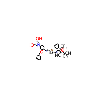 N#CC(C#N)=C1OC(c2ccccc2)(C(F)(F)F)C(/C=C/c2ccc(/C=C/c3ccc(N(CCO)CCO)cc3OCc3ccccc3)s2)=C1C#N